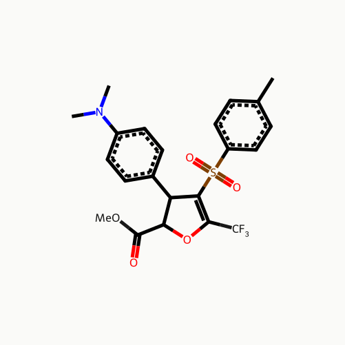 COC(=O)C1OC(C(F)(F)F)=C(S(=O)(=O)c2ccc(C)cc2)C1c1ccc(N(C)C)cc1